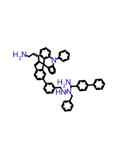 NC/C=C\C1=Cc2ccc(-c3cccc(CNN(Cc4ccccc4)C(N)c4ccc(-c5ccccc5)cc4)c3)cc2C12c1ccccc1N(c1ccccc1)c1ccccc12